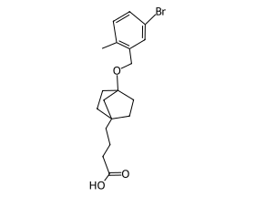 Cc1ccc(Br)cc1COC12CCC(CCCC(=O)O)(CC1)C2